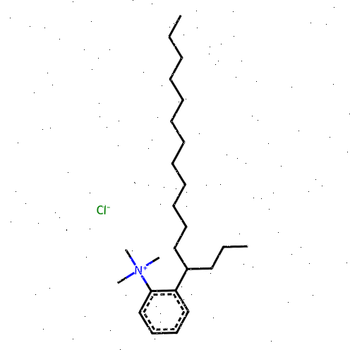 CCCCCCCCCCCCC(CCC)c1ccccc1[N+](C)(C)C.[Cl-]